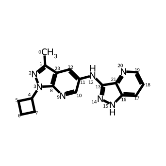 Cc1nn(C2CCC2)c2ncc(Nc3n[nH]c4cccnc34)cc12